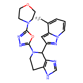 FC(F)(F)c1cccn2nc(C3c4nc[nH]c4CCN3c3nnc(N4CCOCC4)o3)cc12